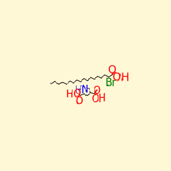 CCCCCCCCCCCCCCCCC(Br)C(=O)O.O=C(O)C1CNC(C(=O)O)C1